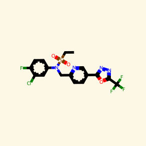 CCS(=O)(=O)N(Cc1ccc(-c2nnc(C(F)(F)F)o2)cn1)c1ccc(F)c(Cl)c1